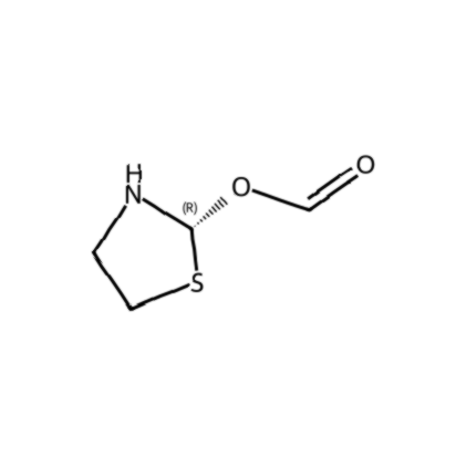 O=CO[C@H]1NCCS1